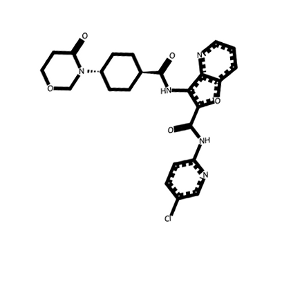 O=C(Nc1ccc(Cl)cn1)c1oc2cccnc2c1NC(=O)[C@H]1CC[C@H](N2COCCC2=O)CC1